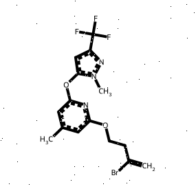 C=C(Br)CCOc1cc(C)cc(Oc2cc(C(F)(F)F)nn2C)n1